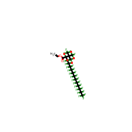 C=COC(=O)C(F)(C(F)(F)C(F)(F)C(F)(F)C(F)(F)C(F)(F)C(F)(F)C(F)(F)C(F)(F)C(F)(F)C(F)(F)C(F)(F)C(F)(F)F)C(C(F)(F)F)(C(F)(F)F)C(F)(F)F